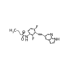 CCCS(=O)(=O)Nc1ccc(F)c(C#Cc2cnc3[nH]ccc3c2)c1F